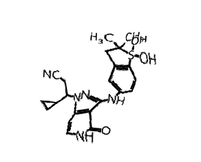 CC1(C)Cc2cc(Nc3nn(C(CC#N)C4CC4)c4cc[nH]c(=O)c34)ccc2S1(O)O